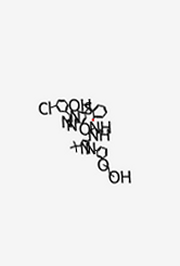 CC(C)(C)c1cc(NC(=O)NCc2ccccc2Sc2ccc3nnc(-c4cc(Cl)ccc4O)n3c2)n(-c2cccc(OCCO)c2)n1